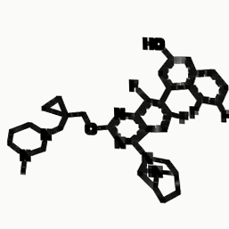 CN1CCCN(CC2(COc3nc(N4CC5CCC(C4)N5)c4cc(F)c(-c5cc(O)cc6ccc(F)c(F)c56)c(F)c4n3)CC2)C1